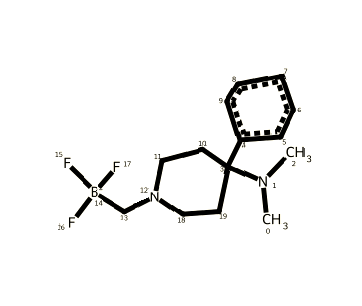 CN(C)C1(c2ccccc2)CCN(C[B-](F)(F)F)CC1